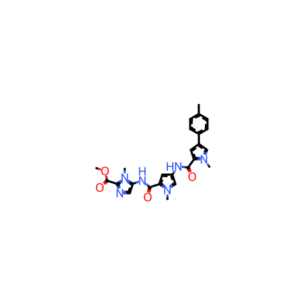 COC(=O)c1ncc(NC(=O)c2cc(NC(=O)c3cc(-c4ccc(C)cc4)cn3C)cn2C)n1C